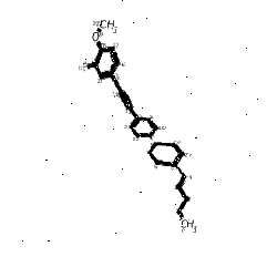 CCCCC[C@H]1CC[C@H](c2ccc(C#Cc3ccc(OC)c(F)c3)cc2)CC1